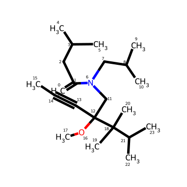 C=C(CC(C)C)N(CC(C)C)CC(C#CC)(OC)C(C)(C)C(C)C